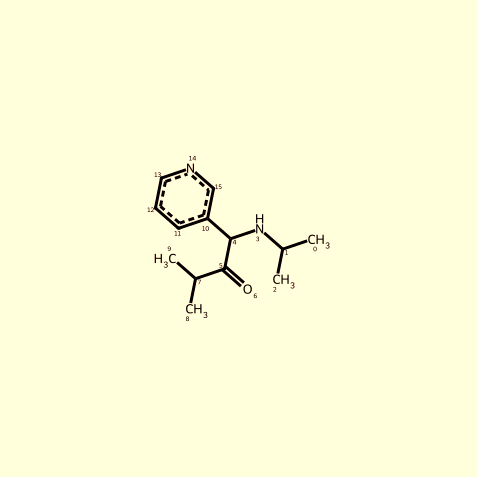 CC(C)NC(C(=O)C(C)C)c1cccnc1